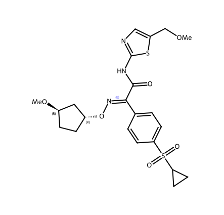 COCc1cnc(NC(=O)/C(=N/O[C@@H]2CC[C@@H](OC)C2)c2ccc(S(=O)(=O)C3CC3)cc2)s1